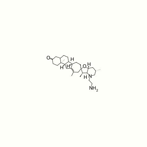 CC1=C2C[C@H]3[C@@H](CCC4CC(=O)CC[C@@]43C)[C@@H]2CC[C@@]2(C1)O[C@@H]1C[C@H](C)CN(CCN)[C@H]1[C@H]2C